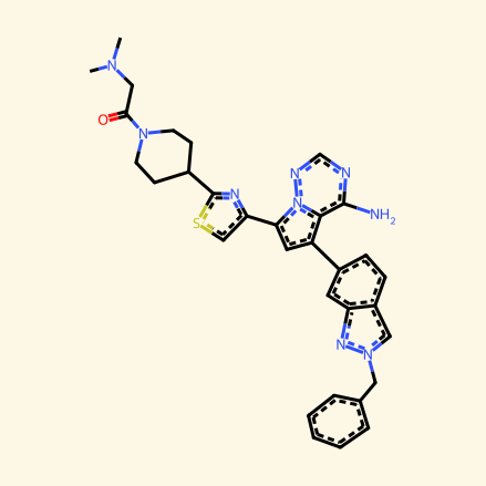 CN(C)CC(=O)N1CCC(c2nc(-c3cc(-c4ccc5cn(Cc6ccccc6)nc5c4)c4c(N)ncnn34)cs2)CC1